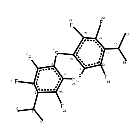 CC(C)c1c(F)c(F)c(Sc2c(F)c(F)c(C(C)C)c(F)c2F)c(F)c1F